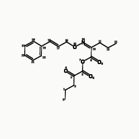 CCCC(=O)C(=O)OC(=O)C(CCC)=NOC/C=C/c1ccccc1